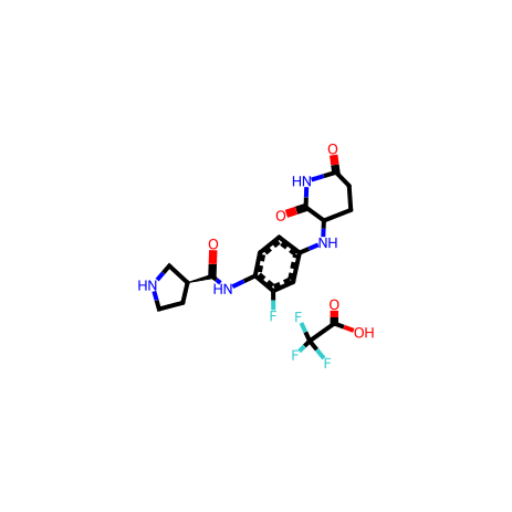 O=C(O)C(F)(F)F.O=C1CCC(Nc2ccc(NC(=O)[C@H]3CCNC3)c(F)c2)C(=O)N1